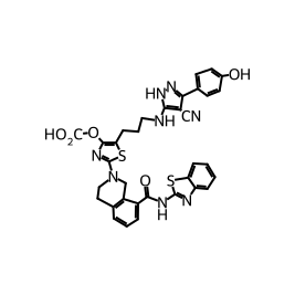 N#Cc1c(-c2ccc(O)cc2)n[nH]c1NCCCc1sc(N2CCc3cccc(C(=O)Nc4nc5ccccc5s4)c3C2)nc1OC(=O)O